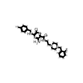 Nc1nc(NCc2ccc(I)cc2)c(Cl)nc1C(=O)NCCN1CCN(Cc2ccccc2F)CC1